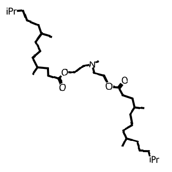 CC(C)CCCC(C)CCCC(C)CCC(=O)OCCN(C)CCOC(=O)CCC(C)CCCC(C)CCCC(C)C